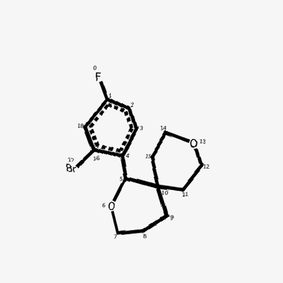 Fc1ccc(C2OCCCC23CCOCC3)c(Br)c1